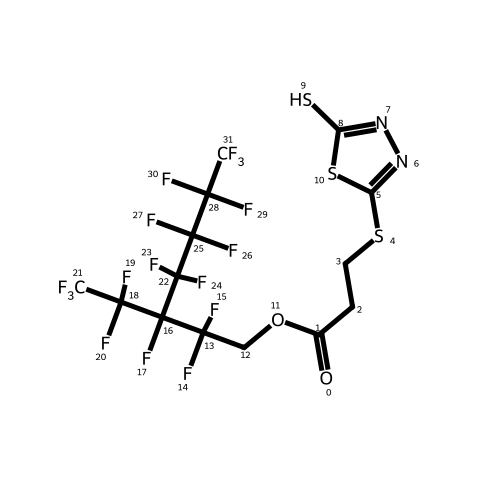 O=C(CCSc1nnc(S)s1)OCC(F)(F)C(F)(C(F)(F)C(F)(F)F)C(F)(F)C(F)(F)C(F)(F)C(F)(F)F